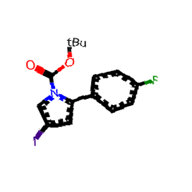 CC(C)(C)OC(=O)n1cc(I)cc1-c1ccc(F)cc1